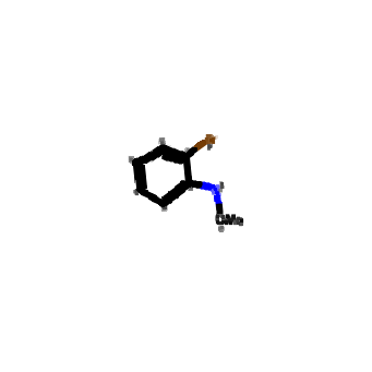 CO[N]c1ccccc1Br